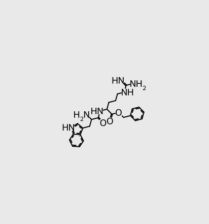 N=C(N)NCCCC(NC(=O)C(N)Cc1c[nH]c2ccccc12)C(=O)OCc1ccccc1